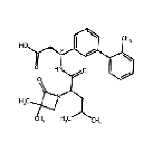 Cc1ccccc1-c1cccc([C@H](CC(=O)O)NC(=O)C(CC(C)C)N2CC(C)(C)C2=O)c1